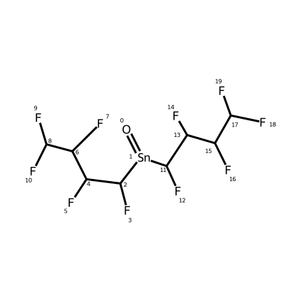 [O]=[Sn]([CH](F)C(F)C(F)C(F)F)[CH](F)C(F)C(F)C(F)F